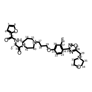 C[C@H](NC(=O)c1ccco1)C(=O)N1CCCN(CCCOc2ccc(-c3noc(CN4CCOCC4)n3)c(F)c2)CC1